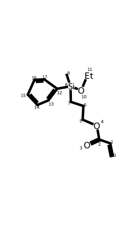 C=CC(=O)OCCC[Si](C)(OCC)c1ccccc1